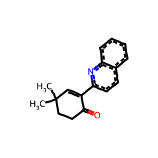 CC1(C)C=C(c2ccc3ccccc3n2)C(=O)CC1